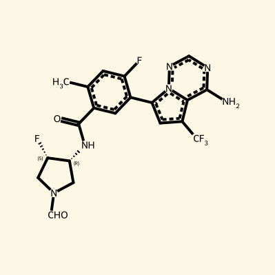 Cc1cc(F)c(-c2cc(C(F)(F)F)c3c(N)ncnn23)cc1C(=O)N[C@@H]1CN(C=O)C[C@@H]1F